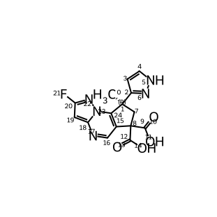 C[C@]1(c2cc[nH]n2)CC(C(=O)O)(C(=O)O)c2cnc3cc(F)nn3c21